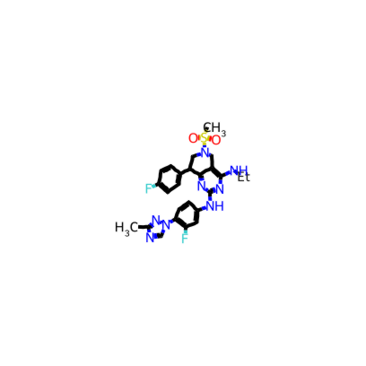 CCNc1nc(Nc2ccc(-n3cnc(C)n3)c(F)c2)nc2c1CN(S(C)(=O)=O)CC2c1ccc(F)cc1